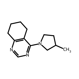 CC1CCN(c2ncnc3c2CCCC3)C1